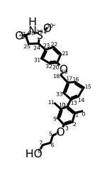 Cc1cc(OCCCO)cc(C)c1-c1cccc(COc2ccc(C3CC(=O)N[S+]3[O-])cc2)c1